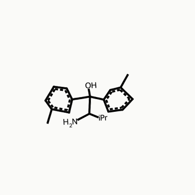 Cc1cccc(C(O)(c2cccc(C)c2)C(N)C(C)C)c1